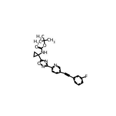 CC(C)(C)OC(=O)NC1(c2nc(-c3ccc(C#Cc4cccc(F)c4)cn3)no2)CC1